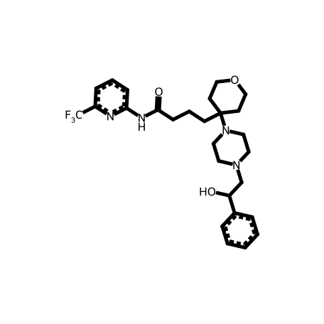 O=C(CCCC1(N2CCN(CC(O)c3ccccc3)CC2)CCOCC1)Nc1cccc(C(F)(F)F)n1